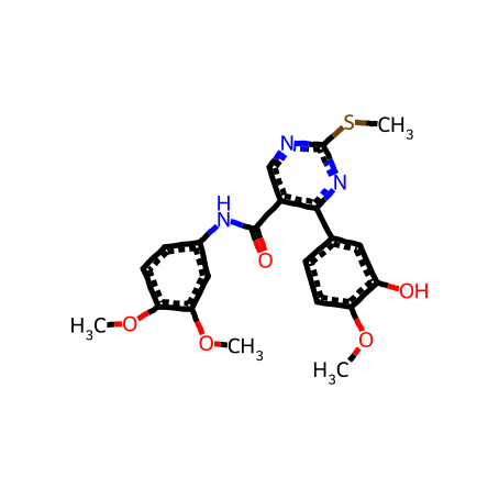 COc1ccc(-c2nc(SC)ncc2C(=O)Nc2ccc(OC)c(OC)c2)cc1O